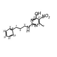 Cc1nc(NCCCc2ccccc2)nc(O)c1[N+](=O)[O-]